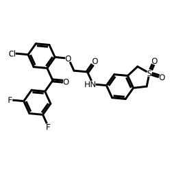 O=C(COc1ccc(Cl)cc1C(=O)c1cc(F)cc(F)c1)Nc1ccc2c(c1)CS(=O)(=O)C2